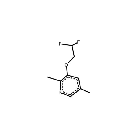 Cc1cnc(C)c(OCC(F)F)c1